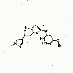 CCOC1=CNNC(Nc2ccc3ncc(-c4cnn(C)c4)cc3n2)=C1